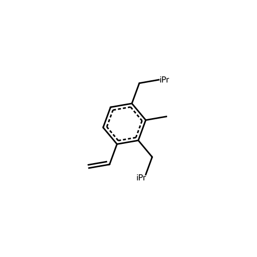 C=Cc1ccc(CC(C)C)c(C)c1CC(C)C